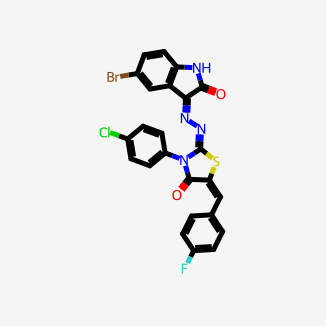 O=C1Nc2ccc(Br)cc2C1=NN=C1SC(=Cc2ccc(F)cc2)C(=O)N1c1ccc(Cl)cc1